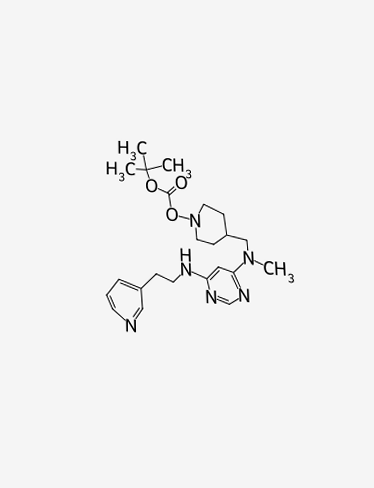 CN(CC1CCN(OC(=O)OC(C)(C)C)CC1)c1cc(NCCc2cccnc2)ncn1